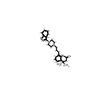 CC1(C)CC(=O)Nc2c(CCCN3CCN(c4nsc5ccccc45)CC3)cccc21